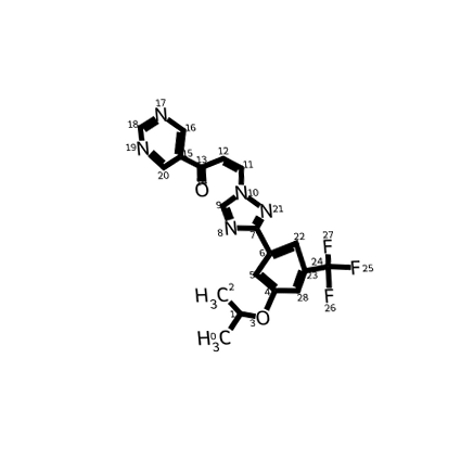 CC(C)Oc1cc(-c2ncn(/C=C\C(=O)c3cncnc3)n2)cc(C(F)(F)F)c1